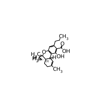 C=C[C@@]12CCC(C)=C[C@H]1c1c(cc(CCC)c(C(=O)O)c1O)OC2(C)C